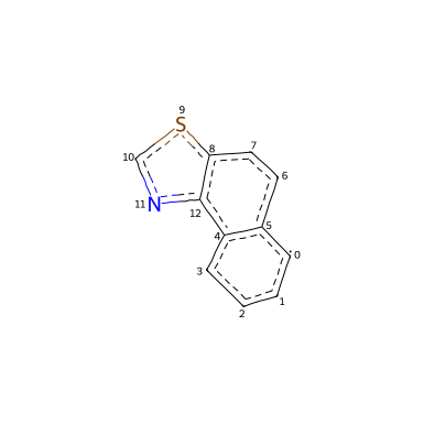 [c]1cccc2c1ccc1scnc12